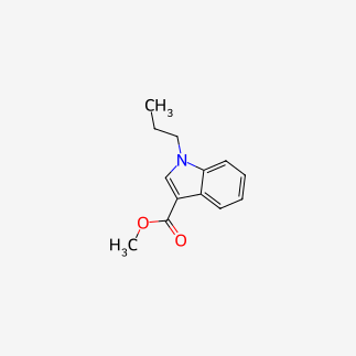 CCCn1cc(C(=O)OC)c2ccccc21